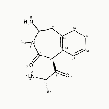 C[C@H](N)C(=O)[C@H]1C(=O)N(C)C(N)CC2=C1C=CCC2